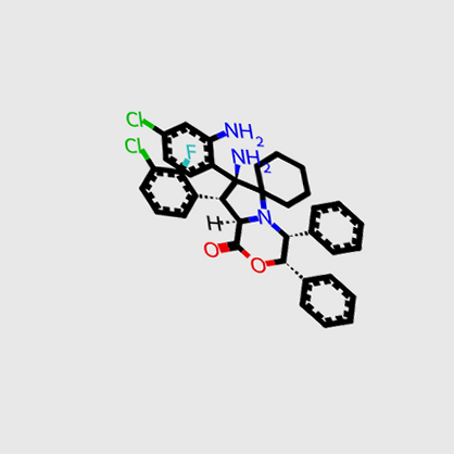 Nc1cc(Cl)ccc1[C@@]1(N)[C@@H](c2cccc(Cl)c2F)[C@@H]2C(=O)O[C@@H](c3ccccc3)[C@@H](c3ccccc3)N2C12CCCCC2